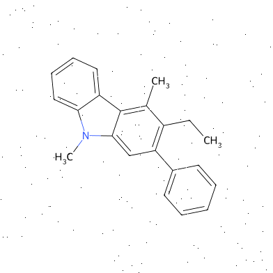 CCc1c(-c2ccccc2)cc2c(c1C)c1ccccc1n2C